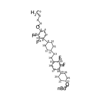 C=CCCOc1ccc(C2CCC(CCc3ccc(C4CCC(OCCCC)CC4)c(F)c3F)CC2)c(F)c1F